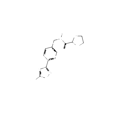 CCN(Cc1ccc(-c2noc(C(F)(F)F)n2)cc1)C(=O)C1OCCO1